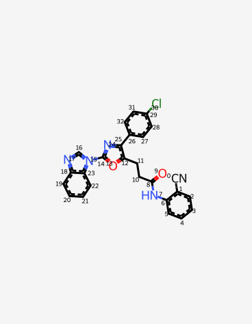 N#Cc1ccccc1NC(=O)CCc1oc(-n2cnc3ccccc32)nc1-c1ccc(Cl)cc1